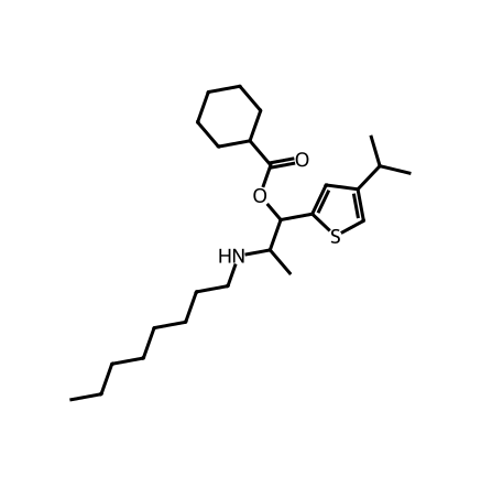 CCCCCCCCNC(C)C(OC(=O)C1CCCCC1)c1cc(C(C)C)cs1